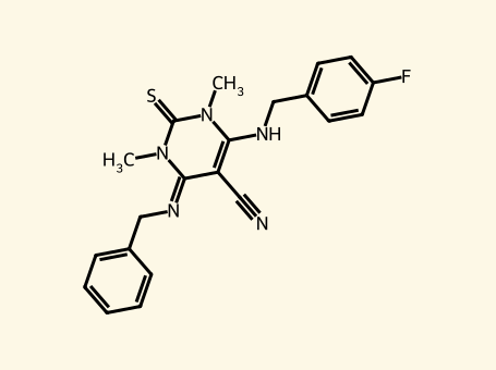 Cn1c(NCc2ccc(F)cc2)c(C#N)c(=NCc2ccccc2)n(C)c1=S